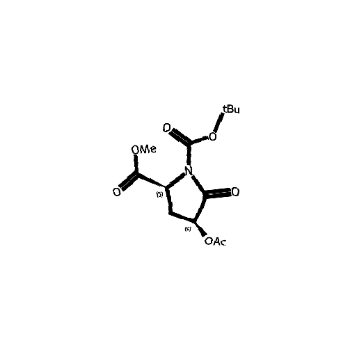 COC(=O)[C@@H]1C[C@H](OC(C)=O)C(=O)N1C(=O)OC(C)(C)C